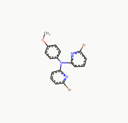 COc1ccc(N(c2cccc(Br)n2)c2cccc(Br)n2)cc1